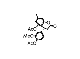 COc1cc([C@H]2CC(=O)Oc3cc(C)cc(OC(C)=O)c32)ccc1OC(C)=O